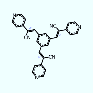 N#C/C(=C\c1cc(/C=C(\C#N)c2ccncc2)cc(/C=C(\C#N)c2ccncc2)c1)c1ccncc1